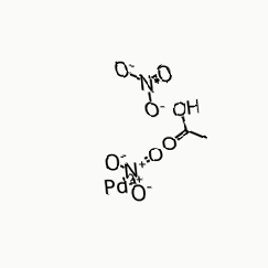 CC(=O)O.O=[N+]([O-])[O-].O=[N+]([O-])[O-].[Pd+2]